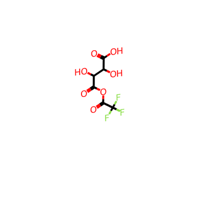 O=C(O)C(O)C(O)C(=O)OC(=O)C(F)(F)F